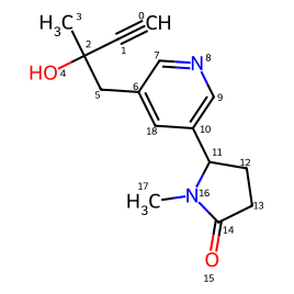 C#CC(C)(O)Cc1cncc(C2CCC(=O)N2C)c1